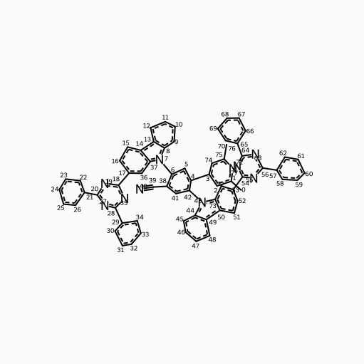 Cc1cc(-c2cc(-n3c4ccccc4c4ccc(-c5nc(-c6ccccc6)nc(-c6ccccc6)n5)cc43)c(C#N)cc2-n2c3ccccc3c3ccc(-c4nc(-c5ccccc5)nc(-c5ccccc5)n4)cc32)cc(C)n1